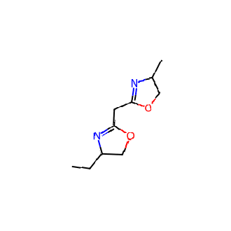 CCC1COC(CC2=NC(C)CO2)=N1